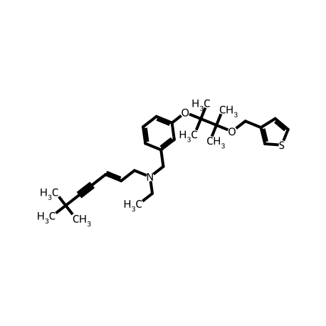 CCN(CC=CC#CC(C)(C)C)Cc1cccc(OC(C)(C)C(C)(C)OCc2ccsc2)c1